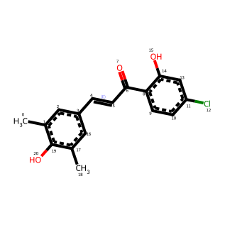 Cc1cc(/C=C/C(=O)c2ccc(Cl)cc2O)cc(C)c1O